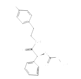 CC(C)(C)OC(=O)N[C@H](C(=O)NCCc1ccc(F)cc1)c1ccccc1